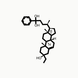 CC[C@]1(O)CC[C@@]2(C)C(=CC[C@H]3[C@@H]4CC[C@H]([C@H](C)CCC(O)(O)c5ccccc5)[C@@]4(C)CC[C@@H]32)C1